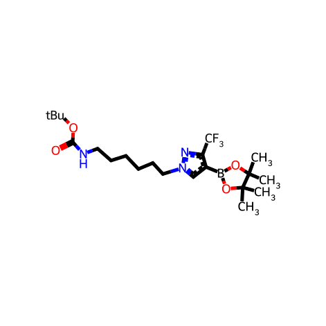 CC(C)(C)OC(=O)NCCCCCCn1cc(B2OC(C)(C)C(C)(C)O2)c(C(F)(F)F)n1